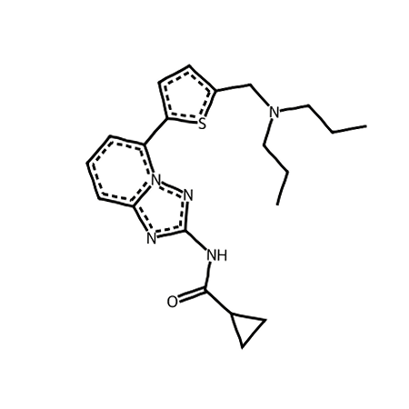 CCCN(CCC)Cc1ccc(-c2cccc3nc(NC(=O)C4CC4)nn23)s1